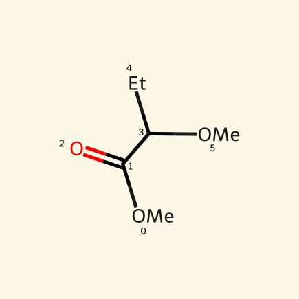 [CH2]OC(=O)C(CC)OC